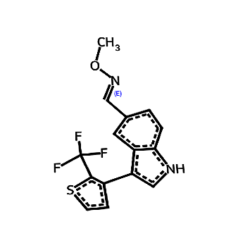 CO/N=C/c1ccc2[nH]cc(-c3ccsc3C(F)(F)F)c2c1